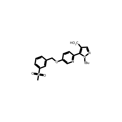 CC(C)(C)n1ncc(C(=O)O)c1-c1ccc(OCc2cccc(S(C)(=O)=O)c2)cn1